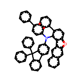 c1ccc(-c2ccc(N(c3ccc4c(c3)C(c3ccccc3)(c3ccccc3)c3ccccc3-4)c3c(-c4ccccc4)ccc4oc5cc6ccccc6cc5c34)cc2)cc1